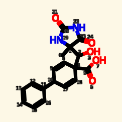 CC1(C(O)C2(C(=O)O)C=CC(c3ccccc3)C=C2)NC(=O)NC1=O